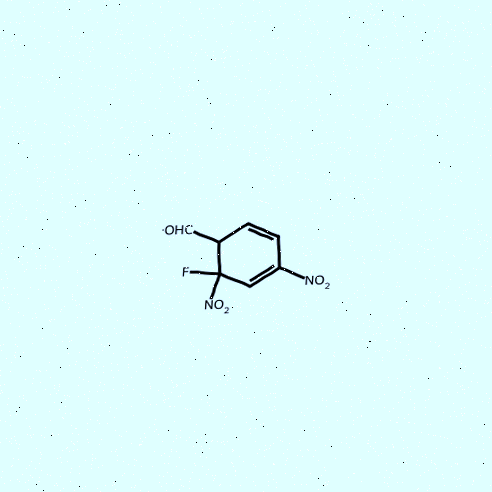 O=[C]C1C=CC([N+](=O)[O-])=CC1(F)[N+](=O)[O-]